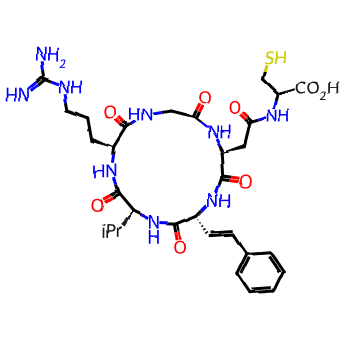 CC(C)[C@@H]1NC(=O)[C@@H](/C=C/c2ccccc2)NC(=O)[C@H](CC(=O)NC(CS)C(=O)O)NC(=O)CNC(=O)[C@H](CCCNC(=N)N)NC1=O